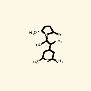 CCC1CC[C@@H](C)N1C(O)C(C)C1CC(C)OC(C)C1